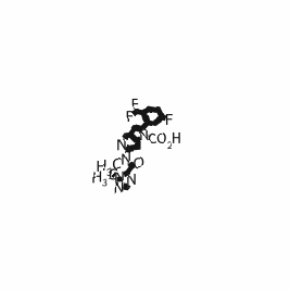 CN(C(=O)c1ncnn1C)c1cc2c(cn1)cc(-c1cc(F)ccc1C(F)F)n2C(=O)O